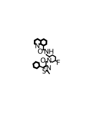 Cc1nc(C(=O)N2CC(F)CCC2CNC(=O)c2cccc3cccnc23)c(-c2ccccc2)s1